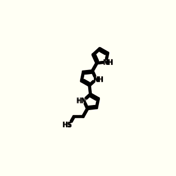 SCCc1ccc(-c2ccc(-c3ccc[nH]3)[nH]2)[nH]1